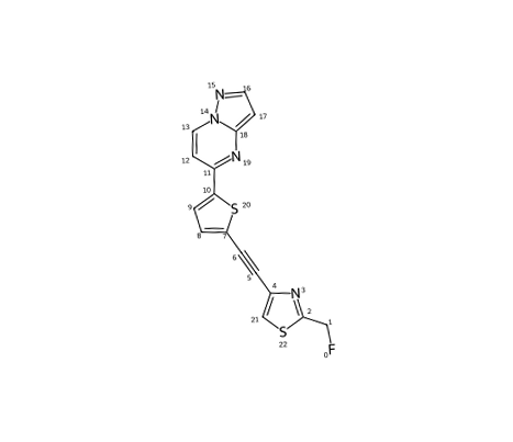 FCc1nc(C#Cc2ccc(-c3ccn4nccc4n3)s2)cs1